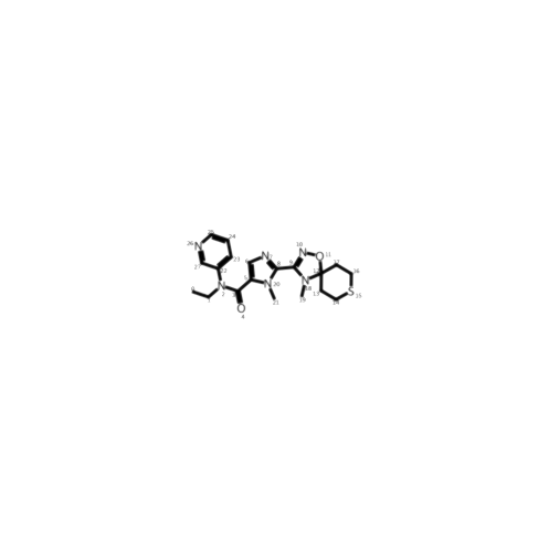 CCN(C(=O)c1cnc(C2=NOC3(CCSCC3)N2C)n1C)c1cccnc1